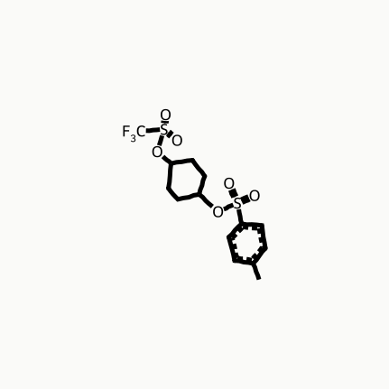 Cc1ccc(S(=O)(=O)OC2CCC(OS(=O)(=O)C(F)(F)F)CC2)cc1